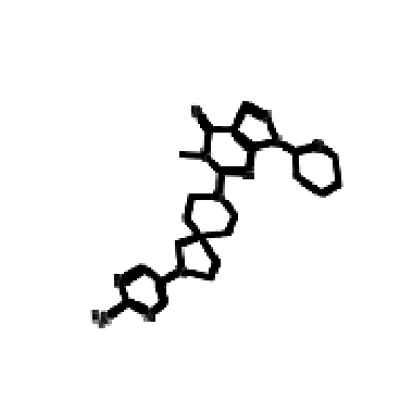 Cn1c(N2CCC3(CCN(c4cnc(C(F)(F)F)nc4)C3)CC2)nc2c(cnn2C2CCCCO2)c1=O